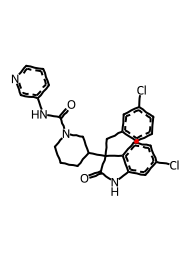 O=C(Nc1cccnc1)N1CCCC(C2(Cc3cccc(Cl)c3)C(=O)Nc3cc(Cl)ccc32)C1